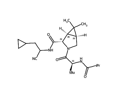 CC(C)C(=O)N[C@H](C(=O)N1C[C@H]2[C@@H]([C@H]1C(=O)NC(C#N)CC1CC1)C2(C)C)C(C)(C)C